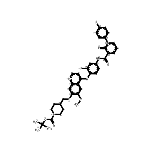 COc1cc2c(Oc3ccc(NC(=O)c4cccn(-c5ccc(F)cc5)c4=O)cc3F)ccnc2cc1OCC1CCN(C(=O)OC(C)(C)C)CC1